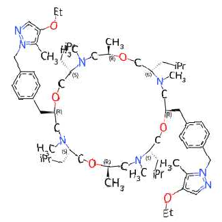 CCOc1cnn(Cc2ccc(C[C@@H]3CN(C)[C@@H](CC(C)C)CO[C@H](C)CN(C)[C@@H](CC(C)C)CO[C@H](Cc4ccc(Cn5ncc(OCC)c5C)cc4)CN(C)[C@@H](CC(C)C)CO[C@H](C)CN(C)[C@@H](CC(C)C)CO3)cc2)c1C